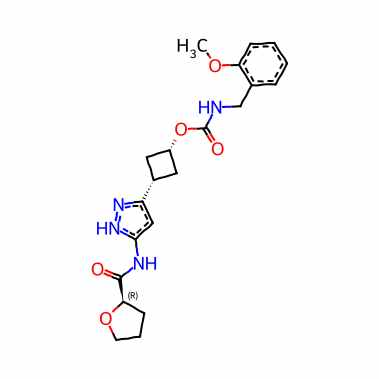 COc1ccccc1CNC(=O)O[C@H]1C[C@@H](c2cc(NC(=O)[C@H]3CCCO3)[nH]n2)C1